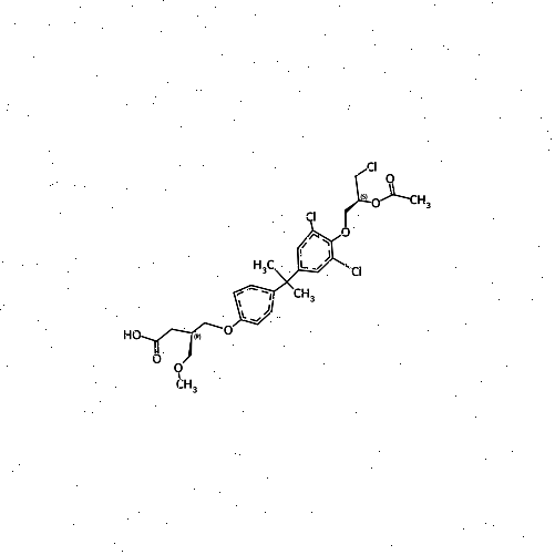 COC[C@H](COc1ccc(C(C)(C)c2cc(Cl)c(OC[C@@H](CCl)OC(C)=O)c(Cl)c2)cc1)CC(=O)O